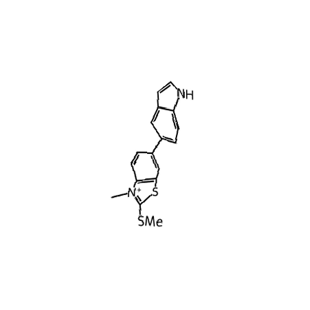 CSc1sc2cc(-c3ccc4[nH]ccc4c3)ccc2[n+]1C